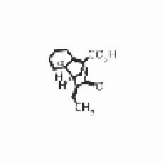 CC=C1C(=O)N2C(C(=O)O)=C3CCCC[C@@H]3[C@H]12